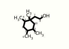 CC1CC(C)C(C)(CCO)CC1C